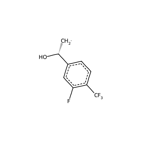 [CH2][C@@H](O)c1ccc(C(F)(F)F)c(F)c1